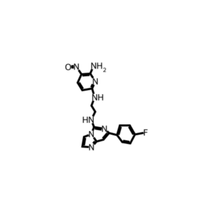 Nc1nc(NCCNc2nc(-c3ccc(F)cc3)cc3nccn23)ccc1N=O